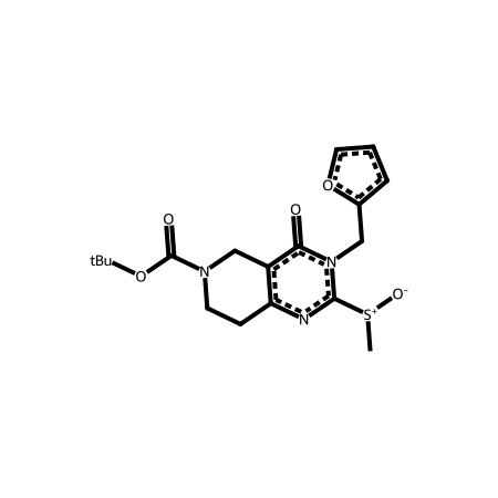 C[S+]([O-])c1nc2c(c(=O)n1Cc1ccco1)CN(C(=O)OC(C)(C)C)CC2